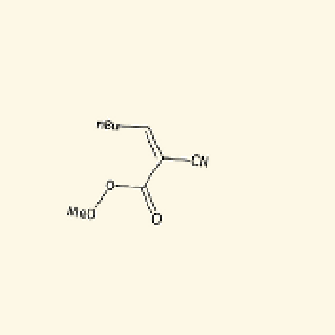 CCCCC=C(C#N)C(=O)OOC